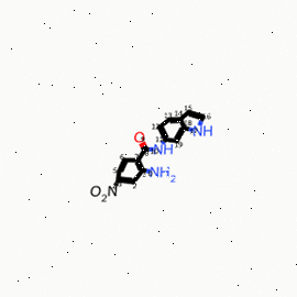 Nc1cc([N+](=O)[O-])ccc1C(=O)Nc1ccc2cc[nH]c2c1